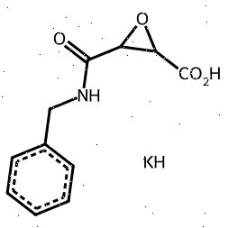 O=C(O)C1OC1C(=O)NCc1ccccc1.[KH]